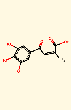 CC(=CC(=O)c1cc(O)c(O)c(O)c1)C(=O)O